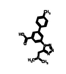 Cc1ccc(-c2cc(C(=O)O)cc(-n3nnnc3CN(C)C)c2)cc1